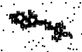 CC(C)(C)OC(=O)NCC#Cc1cc(F)c(C2CCC(=O)NC2=O)c(F)c1